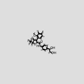 COc1c(C2C(C(=O)Nc3ccc([C@@H](O)CO)nc3)OC(C)(C(F)(F)F)C2C)ccc(F)c1C